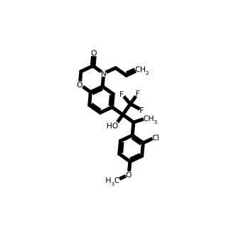 C=CCN1C(=O)COc2ccc(C(O)(C(C)c3ccc(OC)cc3Cl)C(F)(F)F)cc21